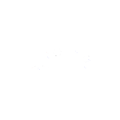 O=C1CCC(N2Cc3cc(C4CCN(Cc5cnc(N6CCOCC6)s5)CC4)c(F)cc3C2=O)C(=O)N1